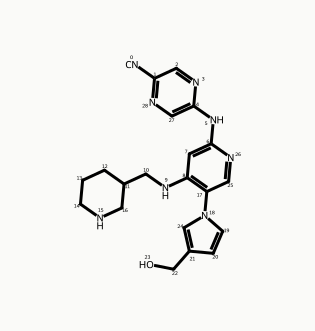 [C-]#[N+]c1cnc(Nc2cc(NCC3CCCNC3)c(-n3ccc(CO)c3)cn2)cn1